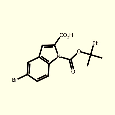 CCC(C)(C)OC(=O)n1c(C(=O)O)cc2cc(Br)ccc21